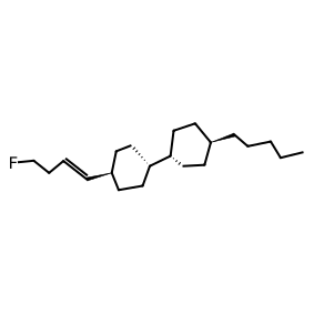 CCCCC[C@H]1CC[C@H]([C@H]2CC[C@H](C=CCCF)CC2)CC1